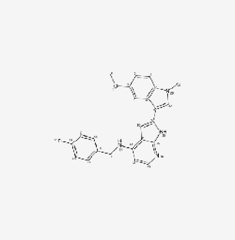 COc1ccc2c(c1)c(-c1cc3c(NCc4ccc(F)cc4)ccnc3[nH]1)cn2C